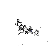 C=CCC(C(=O)NS(=O)(=O)/C=C/c1ccccc1)C(=O)N(C)c1ccc(Cl)cc1